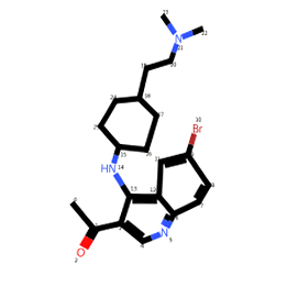 CC(=O)c1cnc2ccc(Br)cc2c1NC1CCC(CCN(C)C)CC1